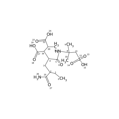 CCC(CC(C(=O)NC(C)(C)CS(=O)(=O)O)C(C(=O)O)C(C)C(=O)O)C(N)=O